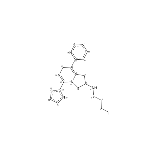 CCCSNC1CC2=C(c3ccccn3)CN=C(c3nccs3)N2C1